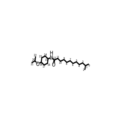 CC(C)CCCCCCCCCC(=O)NC1CCC(OC(C)C)CC1